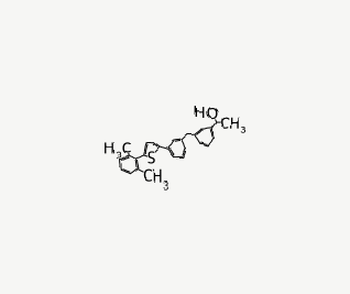 Cc1cccc(C)c1-c1ccc(-c2cccc(Cc3cccc(C(C)O)c3)c2)s1